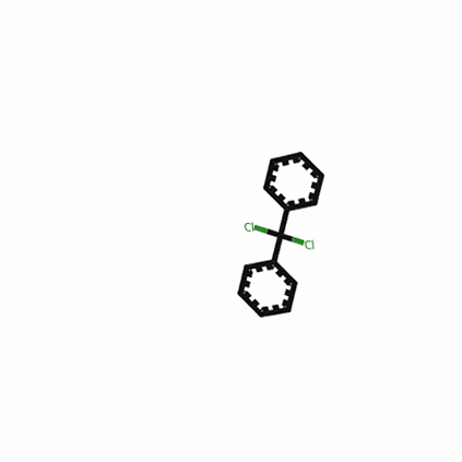 ClC(Cl)(c1ccccc1)c1ccccc1